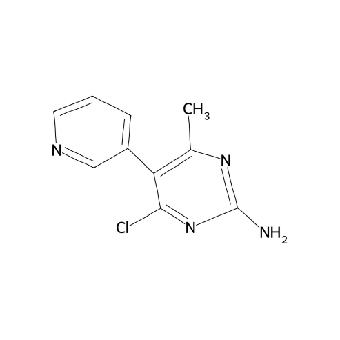 Cc1nc(N)nc(Cl)c1-c1cccnc1